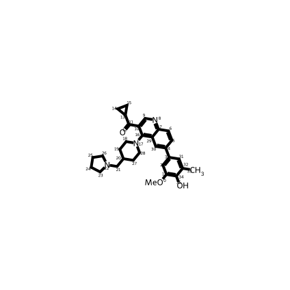 COc1cc(-c2ccc3ncc(C(=O)C4CC4)c(N4CCC(CN5CCCC5)CC4)c3c2)cc(C)c1O